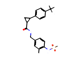 Cc1cc(CNC(=O)C2CC2c2ccc(C(C)(C)C(F)(F)F)cc2)ccc1NS(C)(=O)=O